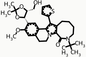 COc1cc2c(cc1[C@@H]1OC(C)(C)O[C@@H]1CO)-c1c(-c3cccs3)c3c(n1CC2)C(=O)N(C(C)(C)C)CCCC3